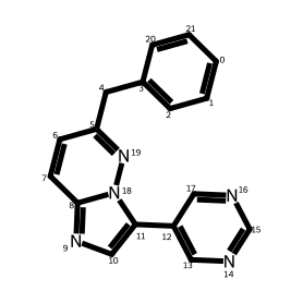 c1ccc(Cc2ccc3ncc(-c4cncnc4)n3n2)cc1